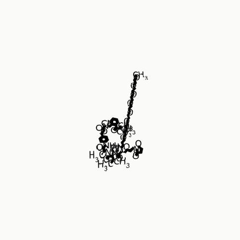 COCCOCCOCCOCCOCCOCCOCCOCCC(=O)N[C@@H](CCCCN1C(=O)C=CC1=O)C(=O)N[C@H](C(=O)N[C@@H](C)C(=O)Nc1ccc(COC(=O)N(C)Cc2ccccc2C(=O)C(C)(C)C)cc1)C(C)C